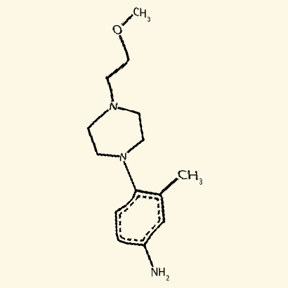 COCCN1CCN(c2ccc(N)cc2C)CC1